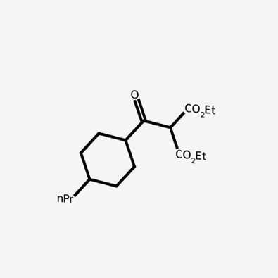 CCCC1CCC(C(=O)C(C(=O)OCC)C(=O)OCC)CC1